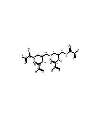 C=C(C)C(=O)SCC(CSCC(CSC(=O)C(=C)C)SC(=O)C(=C)C)SC(=O)C(=C)C